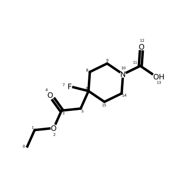 CCOC(=O)CC1(F)CCN(C(=O)O)CC1